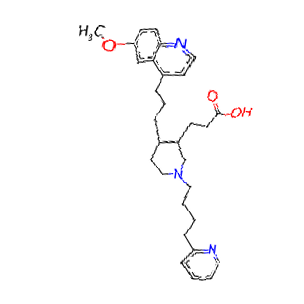 COc1ccc2nccc(CCCC3CCN(CCCCc4ccccn4)CC3CCC(=O)O)c2c1